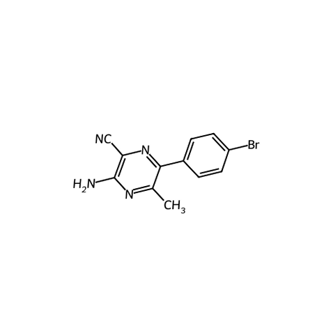 Cc1nc(N)c(C#N)nc1-c1ccc(Br)cc1